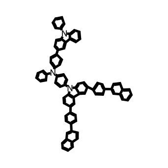 c1ccc(N(c2ccc(-c3ccc4c(c3)c3ccccc3n4-c3ccccc3)cc2)c2ccc(-n3c4ccc(-c5ccc(-c6ccc7ccccc7c6)cc5)cc4c4cc(-c5ccc(-c6ccc7ccccc7c6)cc5)ccc43)cc2)cc1